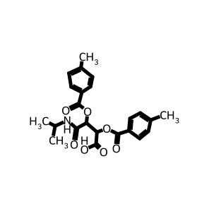 Cc1ccc(C(=O)OC(C(=O)O)C(OC(=O)c2ccc(C)cc2)C(=O)NC(C)C)cc1